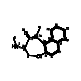 CN[C@H]1COc2ccc3ncccc3c2N(C)C1=O